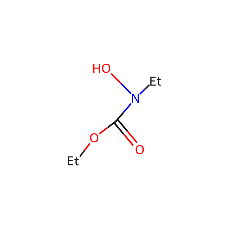 CCOC(=O)N(O)CC